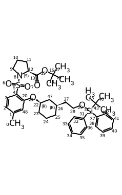 Cc1ccc(S(=O)(=O)N2CCC[C@H]2C(=O)OC(C)(C)C)c(O[C@@H]2CCC[C@H](CCO[Si](c3ccccc3)(c3ccccc3)C(C)(C)C)C2)c1